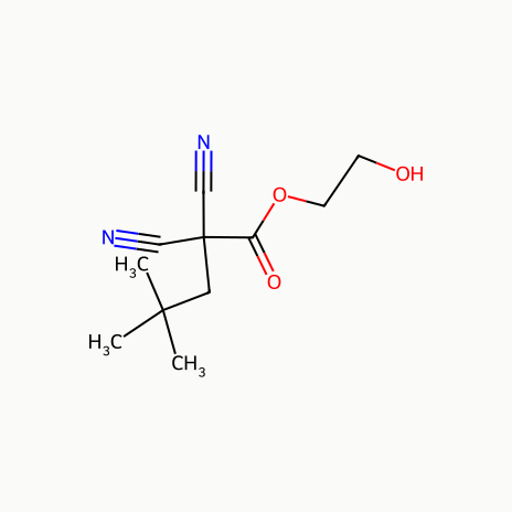 CC(C)(C)CC(C#N)(C#N)C(=O)OCCO